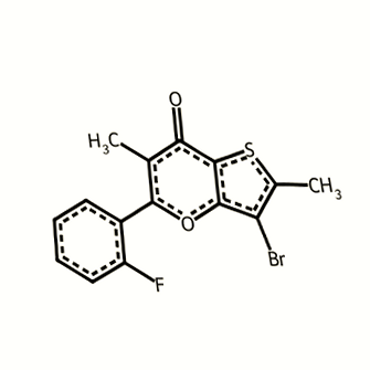 Cc1sc2c(=O)c(C)c(-c3ccccc3F)oc2c1Br